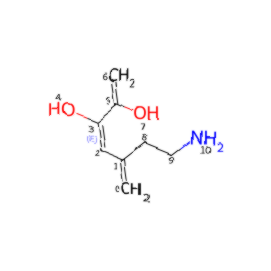 C=C(/C=C(/O)C(=C)O)CCN